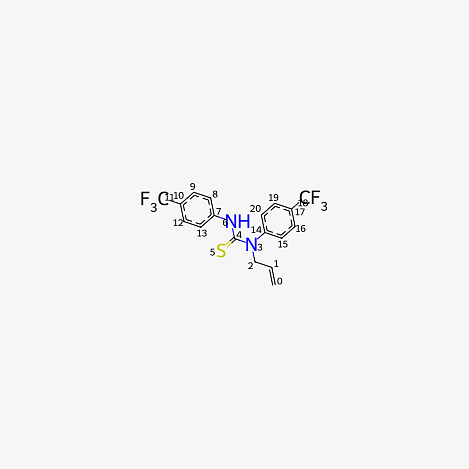 C=CCN(C(=S)Nc1ccc(C(F)(F)F)cc1)c1ccc(C(F)(F)F)cc1